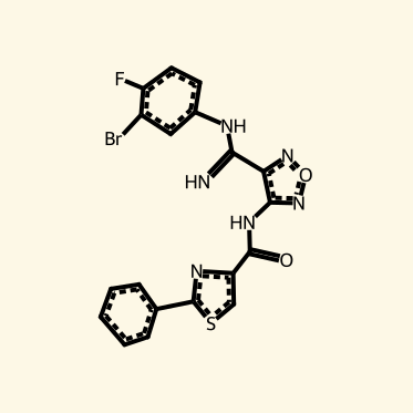 N=C(Nc1ccc(F)c(Br)c1)c1nonc1NC(=O)c1csc(-c2ccccc2)n1